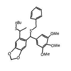 CCCCSC(C)c1cc2c(cc1C(SCc1ccccc1)c1cc(OC)c(OC)c(OC)c1)OCO2